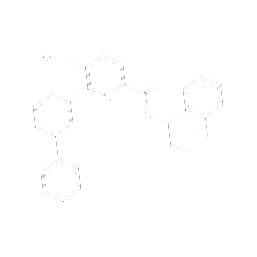 COc1ccc(C(=O)NC(CC(=O)O)c2ccccc2Cl)nc1-c1cccc(-c2ccccc2)c1